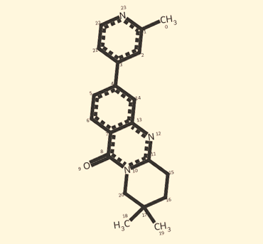 Cc1cc(-c2ccc3c(=O)n4c(nc3c2)CCC(C)(C)C4)ccn1